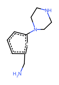 NCc1[c]ccc(N2CCNCC2)c1